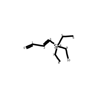 C=CC=C[Si](CC)(CC)CC